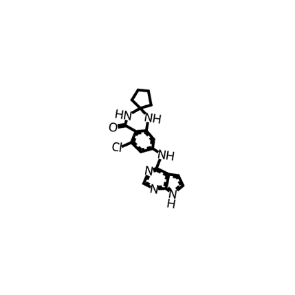 O=C1NC2(CCCC2)Nc2cc(Nc3ncnc4[nH]ccc34)cc(Cl)c21